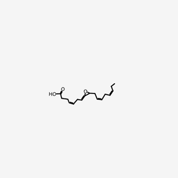 CC/C=C\C/C=C\CC1O/C1=C\C/C=C\CCC(=O)O